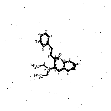 CCN(CC)c1cc2ccccc2nc1C=Cc1ccccc1